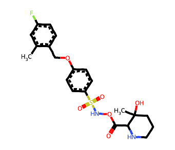 Cc1cc(F)ccc1COc1ccc(S(=O)(=O)NOC(=O)C2NCCCC2(C)O)cc1